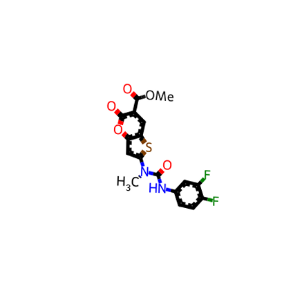 COC(=O)c1cc2sc(N(C)C(=O)Nc3ccc(F)c(F)c3)cc2oc1=O